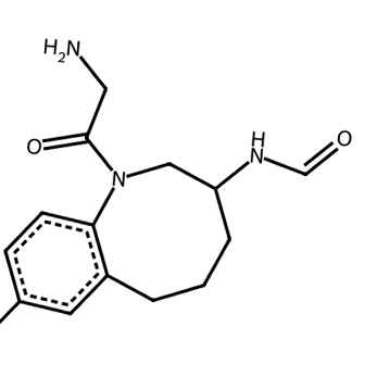 Cc1ccc2c(c1)CCCC(NC=O)CN2C(=O)CN